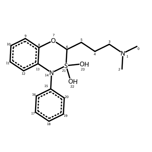 CN(C)CCCC1Oc2ccccc2N(c2ccccc2)S1(O)O